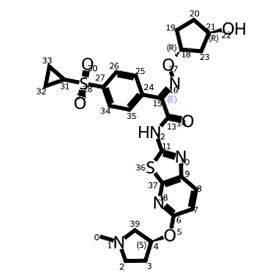 CN1CC[C@H](Oc2ccc3nc(NC(=O)/C(=N/O[C@@H]4CC[C@@H](O)C4)c4ccc(S(=O)(=O)C5CC5)cc4)sc3n2)C1